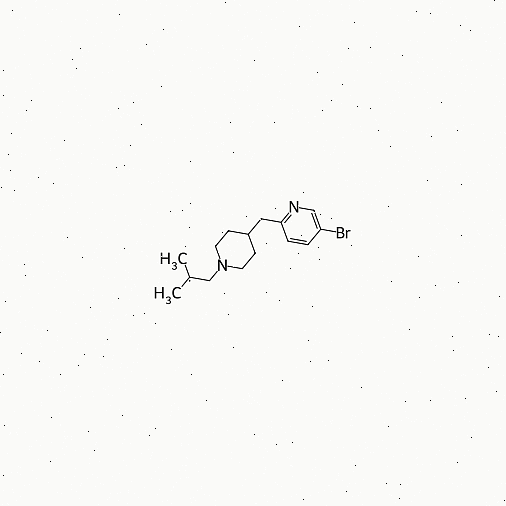 C[C](C)CN1CCC(Cc2ccc(Br)cn2)CC1